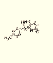 Cc1ccc(C2CNCc3ccc(Cl)nc3O2)nc1